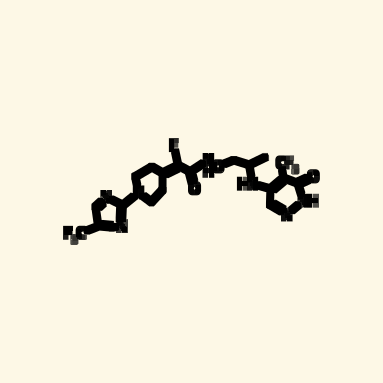 CC(CONC(=O)C(F)=C1CCN(c2ncc(C(F)(F)F)cn2)CC1)Nc1cn[nH]c(=O)c1C(F)(F)F